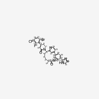 CC1CCC[C@H](N2CCC(c3c(Br)ccc(Cl)c3F)=CC2=O)c2cc(ccn2)-c2ccc(-c3nnc[nH]3)cc2NC1=O